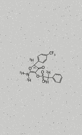 [2H]N([2H])C1=C(OS(=O)(=O)C([2H])([2H])c2ccccc2)C(=O)[C@]([2H])(c2ccc(C(F)(F)F)cc2)O1